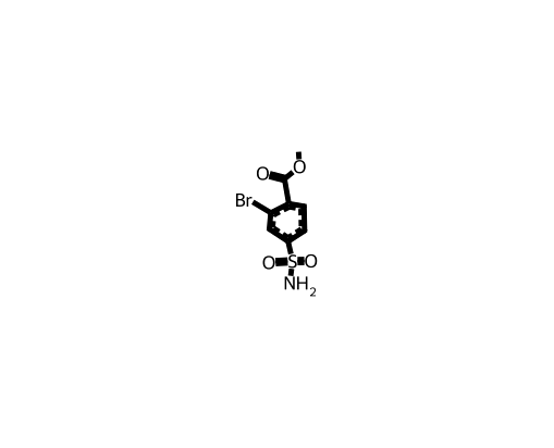 COC(=O)c1ccc(S(N)(=O)=O)cc1Br